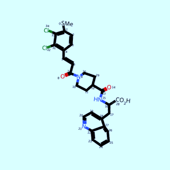 CSc1ccc(/C=C/C(=O)N2CCC(C(=O)NC(Cc3ccnc4ccccc34)C(=O)O)CC2)c(Cl)c1Cl